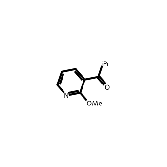 COc1ncccc1C(=O)C(C)C